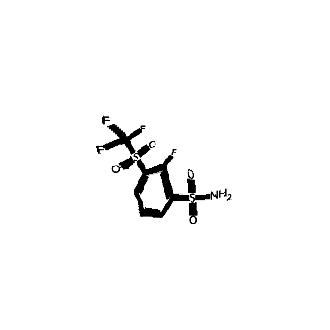 NS(=O)(=O)c1cccc(S(=O)(=O)C(F)(F)F)c1F